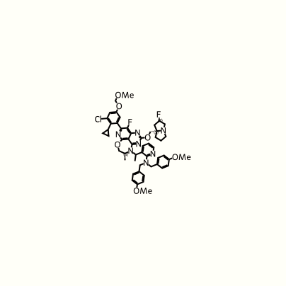 COCOc1cc(Cl)c(C2CC2)c(-c2nc3c4c(nc(OC[C@@]56CCCN5C[C@H](F)C6)nc4c2F)N(C(C)c2cccnc2N(Cc2ccc(OC)cc2)Cc2ccc(OC)cc2)[C@@H](C)CO3)c1